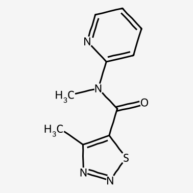 Cc1nnsc1C(=O)N(C)c1ccccn1